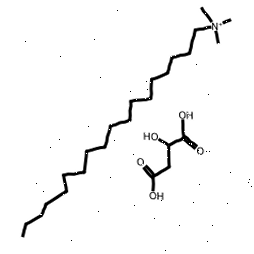 CCCCCCCCCCCCCCCCCC[N+](C)(C)C.O=C(O)CC(O)C(=O)O